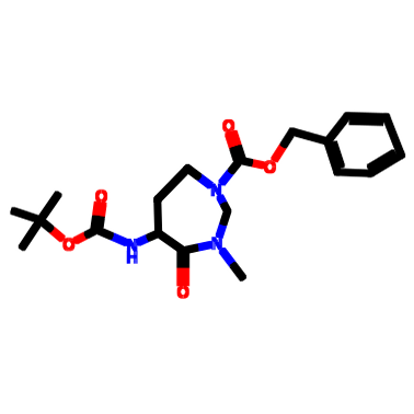 CN1CN(C(=O)OCc2ccccc2)CCC(NC(=O)OC(C)(C)C)C1=O